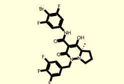 C[C@]12CCCN1N(Cc1cc(F)c(F)c(F)c1)C(=O)C(C(=O)Nc1cc(F)c(Br)c(F)c1)=C2O